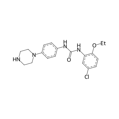 CCOc1ccc(Cl)cc1NC(=O)Nc1ccc(N2CCNCC2)cc1